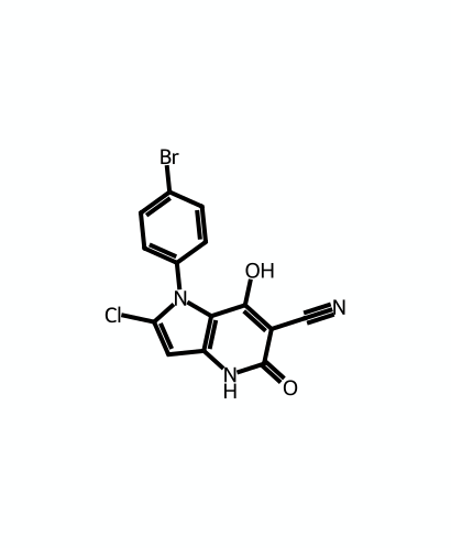 N#Cc1c(O)c2c(cc(Cl)n2-c2ccc(Br)cc2)[nH]c1=O